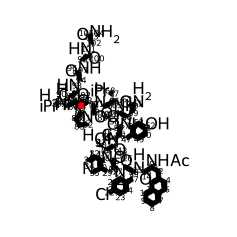 CC(=O)N[C@H](Cc1ccc2ccccc2c1)C(=O)N[C@H](Cc1ccc(Cl)cc1)C(=O)N[C@H](Cc1cccnc1)C(=O)N[C@@H](CO)C(=O)N(C)[C@@H](Cc1ccc(O)cc1)C(=O)N[C@H](CC(N)=O)C(=O)N[C@@H](CC(C)C)C(=O)N[C@@H](CCCCNC(C)C)C(=O)N1CCC[C@H]1C(=O)N[C@H](C)C(=O)NCC(=O)NCC(=O)NCC(N)=O